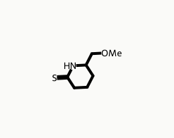 COCC1CCCC(=S)N1